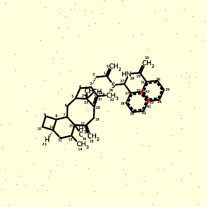 C=C(C[C@H]1CC2CC3C4CC[C@@H]4CC(C)C3(C)C(=C)CC(=C1C)C2(C)C)SC(NC(=C)c1ccccc1)c1ccccc1